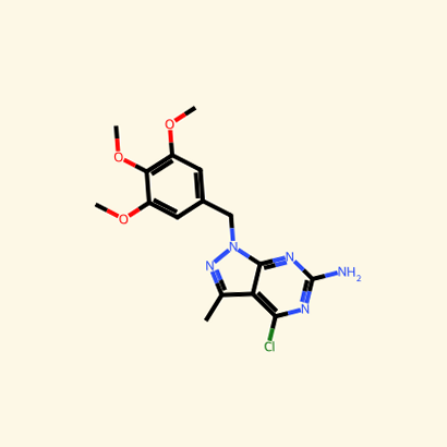 COc1cc(Cn2nc(C)c3c(Cl)nc(N)nc32)cc(OC)c1OC